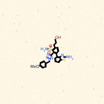 COc1ccc(Cn2nnc(-c3c(-c4cccc5sc(N)nc45)ccc(CCCO)c3S(N)(=O)=O)n2)cc1